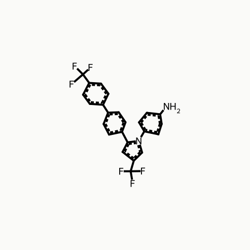 Nc1ccc(-n2cc(C(F)(F)F)cc2-c2ccc(-c3ccc(C(F)(F)F)cc3)cc2)cc1